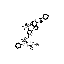 CC(C)OC(=O)[C@H](C)N[P@](=O)(OCC1=CC(O[Si](C)(C)C(C)(C)C)C(n2cnc3c(NC(=O)c4ccccc4)ncnc32)O1)Oc1ccccc1